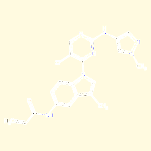 C=CC(=O)Nc1ccc2c(c1)c(C)cn2-c1nc(Nc2cnn(C)c2)ncc1Cl